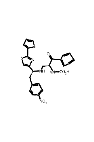 O=C(O)N[C@@H](CN[C@@H](Cc1ccc([N+](=O)[O-])cc1)c1csc(-c2cccs2)n1)C(=O)c1ccccc1